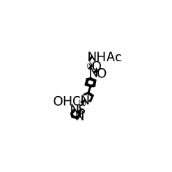 CC(=O)NC[C@H]1CN(c2ccc(C3=CCN([C@H](C=O)Sc4ncccn4)C3)cc2)C(=O)O1